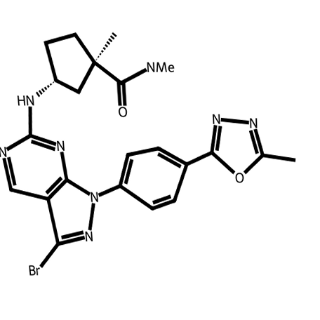 CNC(=O)[C@]1(C)CC[C@@H](Nc2ncc3c(Br)nn(-c4ccc(-c5nnc(C)o5)cc4)c3n2)C1